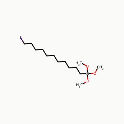 CO[Si](CCCCCCCCCCCI)(OC)OC